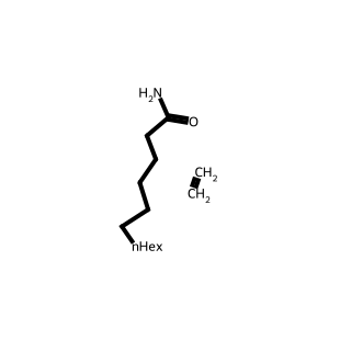 C=C.CCCCCCCCCCCC(N)=O